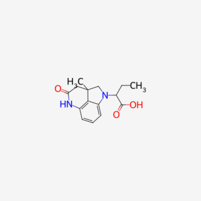 CCC(C(=O)O)N1CC2(C)CC(=O)Nc3cccc1c32